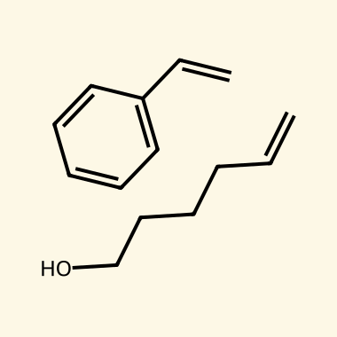 C=CCCCCO.C=Cc1ccccc1